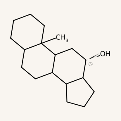 CC12CCCCC1CCC1C3CCCC3[C@@H](O)CC12